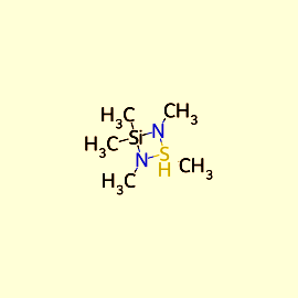 CN1[SH](C)N(C)[Si]1(C)C